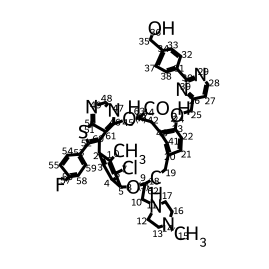 Cc1c2ccc(c1Cl)O[C@H](CN1CCN(C)CC1)CCc1ccc(OCc3ccnc(-c4ccc(CO)cc4)n3)c(c1)C[C@H](C(=O)O)Oc1ncnc3sc(-c4ccc(F)cc4)c-2c13